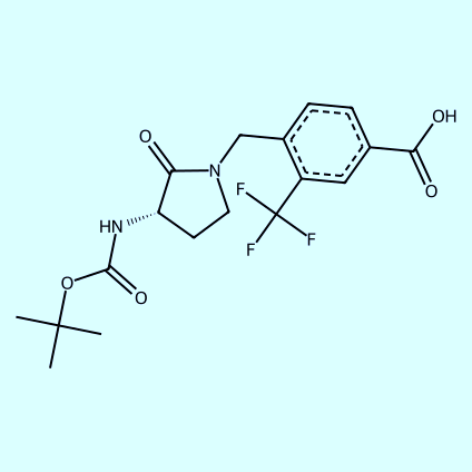 CC(C)(C)OC(=O)N[C@H]1CCN(Cc2ccc(C(=O)O)cc2C(F)(F)F)C1=O